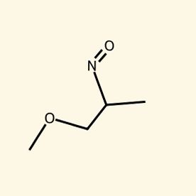 COCC(C)N=O